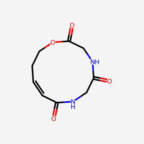 O=C1C=CCCOC(=O)CNC(=O)CN1